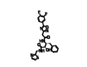 O=C(Cc1noc(-c2ccc(F)c(F)c2)n1)N[C@H](Cc1ccccc1)[C@H](O)C(=O)NCc1nccs1